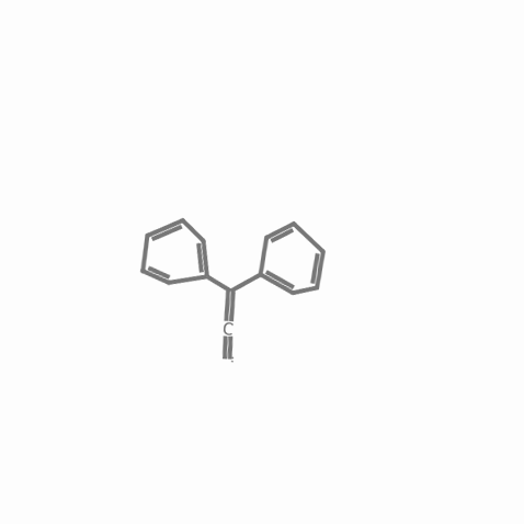 [C]=C=C(c1ccccc1)c1ccccc1